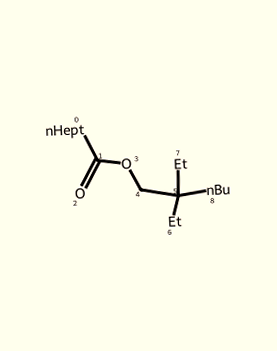 CCCCCCCC(=O)OCC(CC)(CC)CCCC